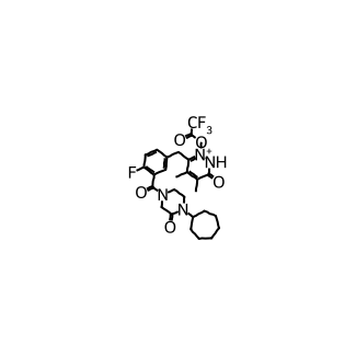 Cc1c(C)c(=O)[nH][n+](OC(=O)C(F)(F)F)c1Cc1ccc(F)c(C(=O)N2CCN(C3CCCCCC3)C(=O)C2)c1